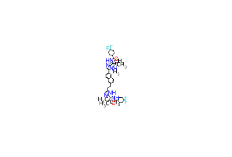 CC(C)(C)C(NC(=O)C1CCC(F)(F)CC1)c1ncc(CCc2ccc3cc(-c4cnc([C@@H](NC(=O)C5CCC(F)(F)CC5)C(C)(C)C)[nH]4)ccc3c2)[nH]1